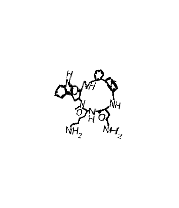 CN1C(=O)C(CCCCN)NC(=O)C(CCCN)NCc2cccc(c2F)-c2ccccc2CNC(=O)C1Cc1c[nH]c2ccccc12